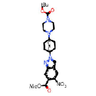 COC(=O)c1cc2nn(C34CCC(N5CCN(C(=O)OC(C)(C)C)CC5)(CC3)CC4)cc2cc1[N+](=O)[O-]